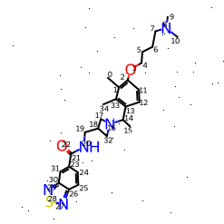 Cc1c(OCCCCN(C)C)ccc(C(C)N2CC(CNC(=O)c3ccc4nsnc4c3)C2)c1C